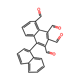 O=Cc1c(C=O)c(C=O)c2c(C=O)cccc2c1-c1cccc2ccccc12